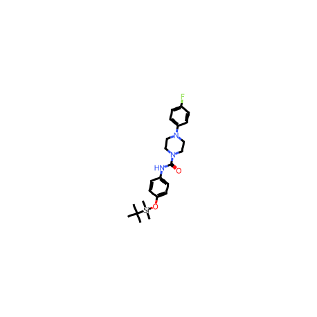 CC(C)(C)[Si](C)(C)Oc1ccc(NC(=O)N2CCN(c3ccc(F)cc3)CC2)cc1